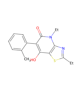 CCc1nc2c(s1)c(O)c(-c1ccccc1C)c(=O)n2CC